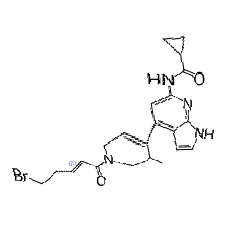 CC1CN(C(=O)/C=C/CCBr)CC=C1c1cc(NC(=O)C2CC2)nc2[nH]ccc12